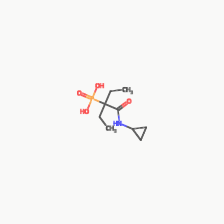 CCC(CC)(C(=O)NC1CC1)P(=O)(O)O